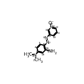 CN(C)c1ccc(N=Nc2ccc[n+]([O-])c2)c(N)c1